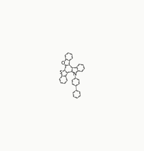 c1ccc(-c2ccc(-n3c4ccccc4c4c5c6ccccc6oc5c5sc6ccccc6c5c43)cc2)cc1